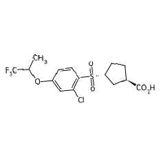 CC(Oc1ccc(S(=O)(=O)[C@@H]2CC[C@@H](C(=O)O)C2)c(Cl)c1)C(F)(F)F